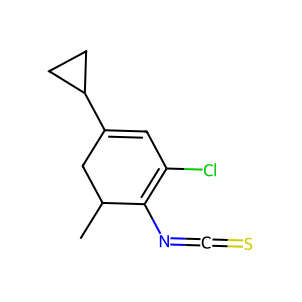 CC1CC(C2CC2)=CC(Cl)=C1N=C=S